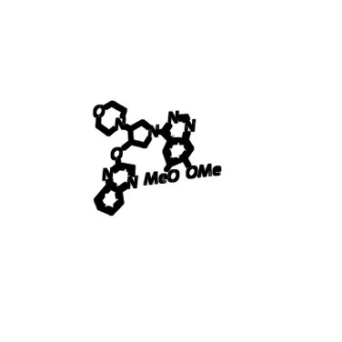 COc1cc2ncnc(N3CC(Oc4cnc5ccccc5n4)C(N4CCOCC4)C3)c2cc1OC